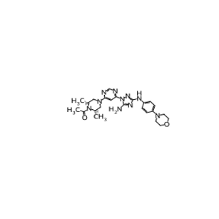 CC(=O)N1[C@H](C)CN(c2cc(-n3nc(Nc4ccc(N5CCOCC5)cc4)nc3N)ncn2)C[C@@H]1C